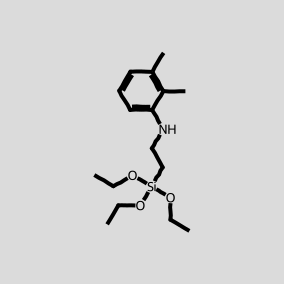 CCO[Si](CCNc1cccc(C)c1C)(OCC)OCC